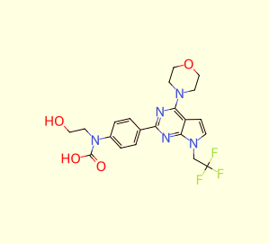 O=C(O)N(CCO)c1ccc(-c2nc(N3CCOCC3)c3ccn(CC(F)(F)F)c3n2)cc1